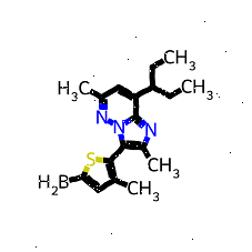 Bc1cc(C)c(-c2c(C)nc3c(C(CC)CC)cc(C)nn23)s1